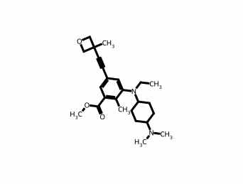 CCN(c1cc(C#CC2(C)COC2)cc(C(=O)OC)c1C)C1CCC(N(C)C)CC1